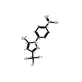 O=[N+]([O-])c1ccc(-n2nc(C(F)(F)F)cc2Cl)cc1